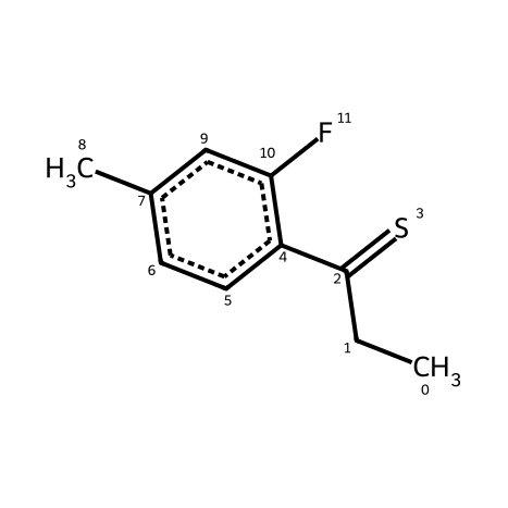 CCC(=S)c1ccc(C)cc1F